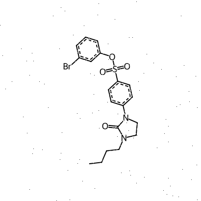 CCCCN1CCN(c2ccc(S(=O)(=O)Oc3cccc(Br)c3)cc2)C1=O